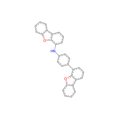 c1ccc2c(c1)oc1c(Nc3ccc(-c4cccc5c4oc4ccccc45)cc3)cccc12